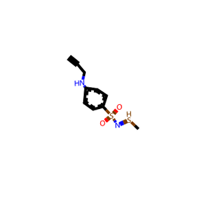 C#CCNc1ccc(S(=O)(=O)N=[SH]C)cc1